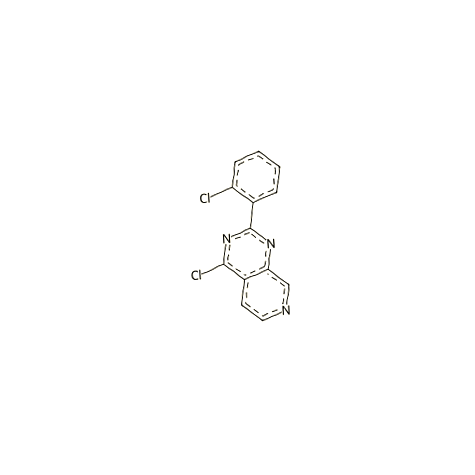 Clc1ccccc1-c1nc(Cl)c2ccncc2n1